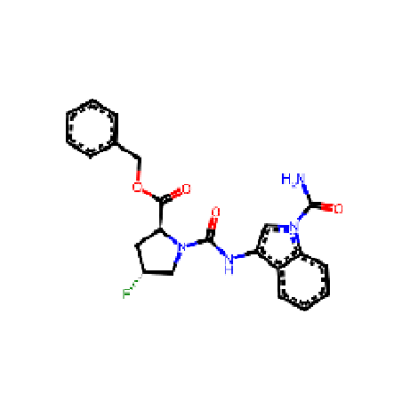 NC(=O)n1cc(NC(=O)N2C[C@H](F)C[C@H]2C(=O)OCc2ccccc2)c2ccccc21